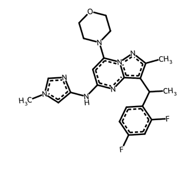 Cc1nn2c(N3CCOCC3)cc(Nc3cn(C)cn3)nc2c1C(C)c1ccc(F)cc1F